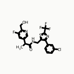 CC(C(=O)NCc1sc(C(F)(F)F)nc1-c1cccc(Cl)c1)c1cnc(CO)c(F)c1